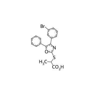 CC(Sc1nc(-c2cccc(Br)c2)c(-c2ccccc2)o1)C(=O)O